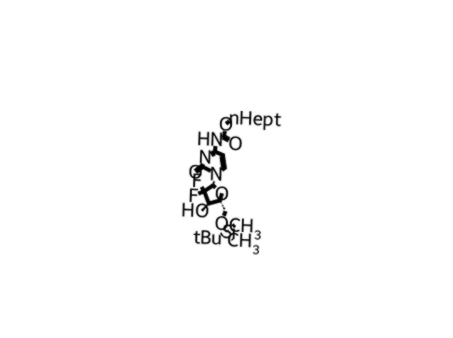 CCCCCCCOC(=O)Nc1ccn([C@@H]2O[C@H](CO[Si](C)(C)C(C)(C)C)[C@@H](O)C2(F)F)c(=O)n1